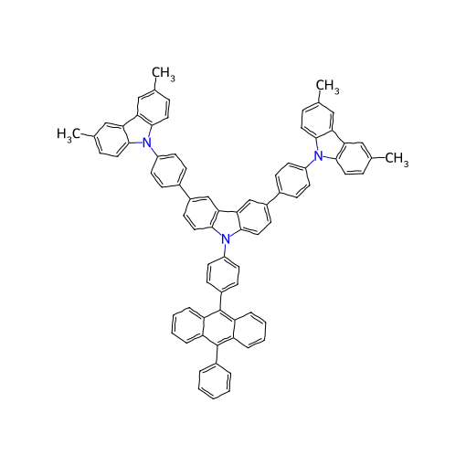 Cc1ccc2c(c1)c1cc(C)ccc1n2-c1ccc(-c2ccc3c(c2)c2cc(-c4ccc(-n5c6ccc(C)cc6c6cc(C)ccc65)cc4)ccc2n3-c2ccc(-c3c4ccccc4c(-c4ccccc4)c4ccccc34)cc2)cc1